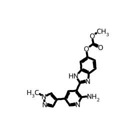 COC(=O)Oc1ccc2nc(-c3cc(-c4cnn(C)c4)cnc3N)[nH]c2c1